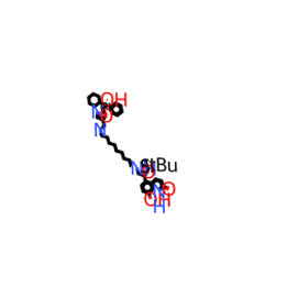 CN(CCCCCCCCCNCC(O[Si](C)(C)C(C)(C)C)c1ccc(O)c2[nH]c(=O)ccc12)Cc1cnc([C@](O)(c2ccccc2)C2CCCCC2)o1